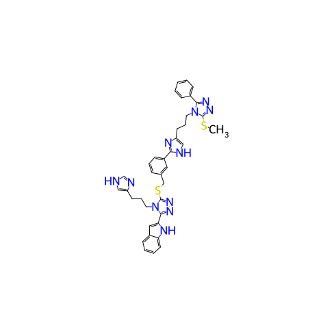 CSc1nnc(-c2ccccc2)n1CCCc1c[nH]c(-c2cccc(CSc3nnc(-c4cc5ccccc5[nH]4)n3CCCc3c[nH]cn3)c2)n1